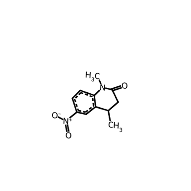 CC1CC(=O)N(C)c2ccc([N+](=O)[O-])cc21